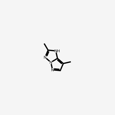 Cc1nn2ncc(C)c2[nH]1